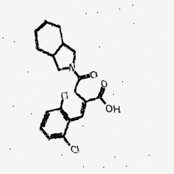 O=C(O)/C(=C/c1c(Cl)cccc1Cl)CC(=O)N1CC2CCCCC2C1